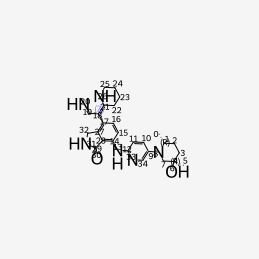 C[C@@H]1CC[C@@](C)(O)CN1c1ccc(Nc2ccc(/C(C=N)=C3\CCCCN3)c3c2C(=O)NC3)nc1